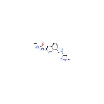 CCNC(=O)Nc1cc2cccc(CNc3cc(C)nn3C)c2cn1